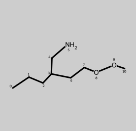 CCCC(CN)CCOOC